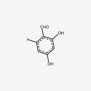 O=Cc1c(O)cc(O)cc1I